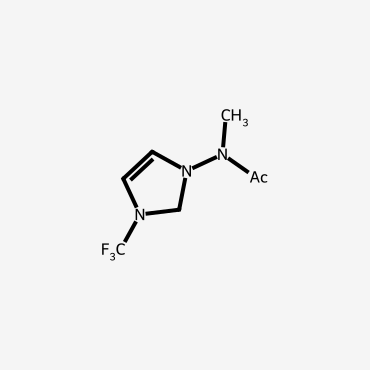 CC(=O)N(C)N1C=CN(C(F)(F)F)C1